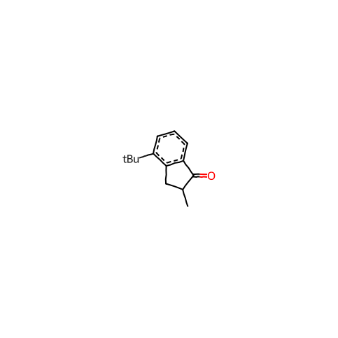 CC1Cc2c(cccc2C(C)(C)C)C1=O